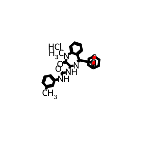 Cc1cccc(NC(=O)NC2N=C(N3CC4CCC(CC4)C3)c3ccccc3N(C)C2=O)c1.Cl